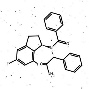 NC(=O)[C@@H](c1ccccc1)N(C(=O)c1ccccc1)[C@@H]1CCc2cc(F)cc(F)c21